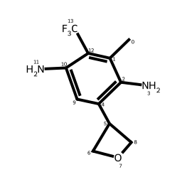 Cc1c(N)c(C2COC2)cc(N)c1C(F)(F)F